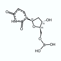 O=c1ccn([C@H]2C[C@H](O)[C@@H](COB(O)O)O2)c(=O)[nH]1